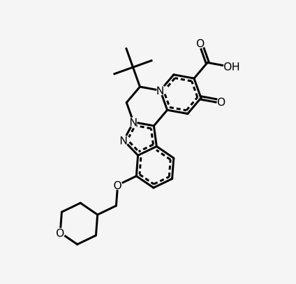 CC(C)(C)C1Cn2nc3c(OCC4CCOCC4)cccc3c2-c2cc(=O)c(C(=O)O)cn21